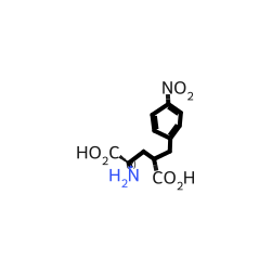 N[C@H](CC(Cc1ccc([N+](=O)[O-])cc1)C(=O)O)C(=O)O